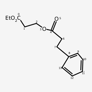 CCOC(=O)CCOC(=O)CCc1cc[c]cc1